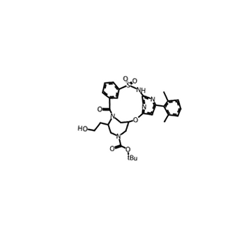 Cc1cccc(C)c1-c1cc2nc(n1)NS(=O)(=O)c1cccc(c1)C(=O)N1CC(CN(C(=O)OC(C)(C)C)CC1CCO)O2